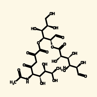 CC(=O)N[C@@H](C(=O)CC(=O)C(=O)O[C@@H]([C@@H](O)[C@H](O)CO)[C@H](C=O)OC(=O)[C@@H](O)[C@H](O)[C@H](O)[C@@H](O)C=O)[C@@H](O)[C@@H](O)[C@@H](C)O